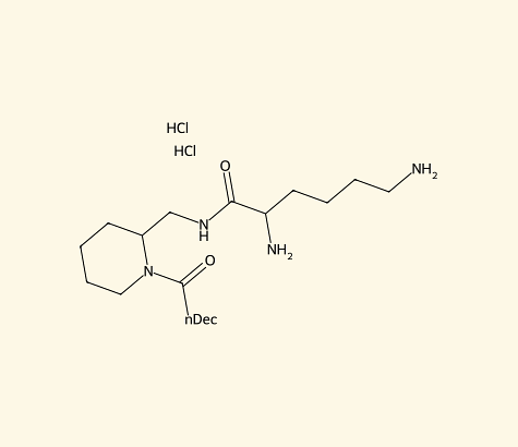 CCCCCCCCCCC(=O)N1CCCCC1CNC(=O)C(N)CCCCN.Cl.Cl